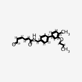 CCCOc1cc(-c2ccc(CNC(=O)/C=C/C=C\C=O)cc2)ccc1C